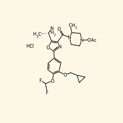 CC(=O)ON1CCN(C(=O)c2nc(-c3ccc(OC(F)F)c(OCC4CC4)c3)oc2[C@H](C)N)C(C)C1.Cl